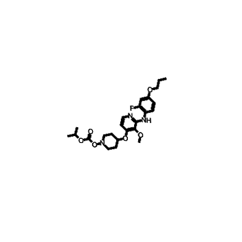 CCCOc1ccc(Nc2nccc(OC3CCN(OC(=O)OC(C)C)CC3)c2OC)c(F)c1